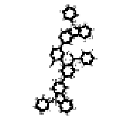 Cc1ccc(-c2ccc3c(c2)c2ccccc2n3-c2ccccc2)cc1-c1cc(-c2ccc3c(c2)c2ccccc2n3-c2ccccc2)ccc1C(C)c1ccccc1